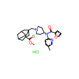 COC(=O)C12CC3CC(CC(CN4CCC(N(C(=O)c5ccco5)c5ccc(C)cn5)CC4)(C3)C1)C2.Cl